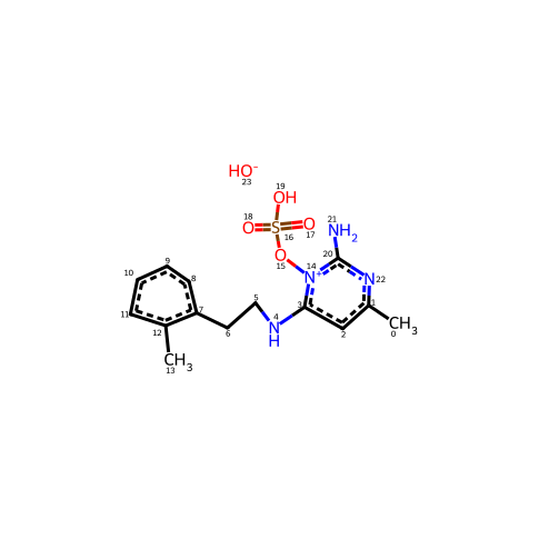 Cc1cc(NCCc2ccccc2C)[n+](OS(=O)(=O)O)c(N)n1.[OH-]